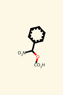 O=C(O)OC(c1ccccc1)[N+](=O)[O-]